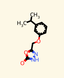 CC(C)c1cccc(OCc2n[nH]c(=O)o2)c1